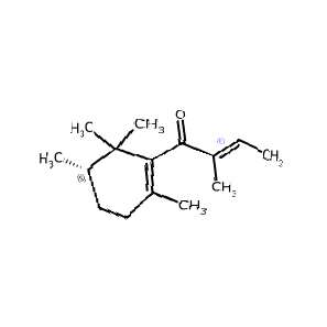 C/C=C(\C)C(=O)C1=C(C)CC[C@H](C)C1(C)C